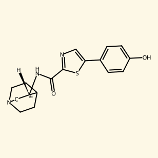 O=C(N[C@H]1CN2CCC1CC2)c1ncc(-c2ccc(O)cc2)s1